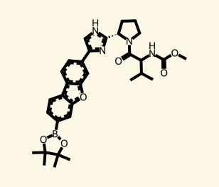 COC(=O)NC(C(=O)N1CCC[C@H]1c1nc(-c2ccc3c(c2)oc2cc(B4OC(C)(C)C(C)(C)O4)ccc23)c[nH]1)C(C)C